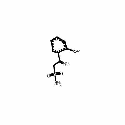 N=C(CS(N)(=O)=O)c1ccccc1O